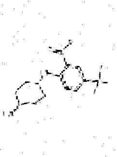 N[C@H]1CC[C@H](Nc2ccc(C(F)(F)F)cc2[N+](=O)[O-])CC1